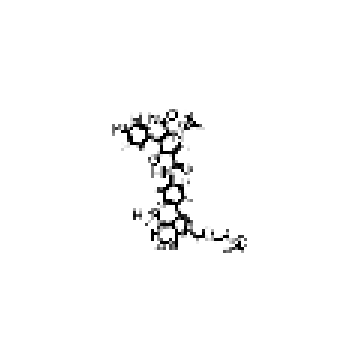 C[Si](C)(C)CCOCn1nc(-c2ccc(NC(=O)c3cn(C4CC4)c(C(N)=O)c(-c4ccc(F)cc4)c3=O)cc2)c2c(N)ncnc21